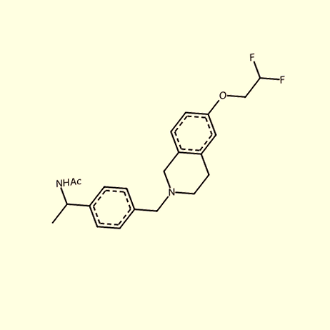 CC(=O)NC(C)c1ccc(CN2CCc3cc(OCC(F)F)ccc3C2)cc1